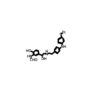 CCOc1ccc(Nc2ccc(CCNC[C@@H](O)c3ccc(O)c(NC=O)c3)cc2)cc1